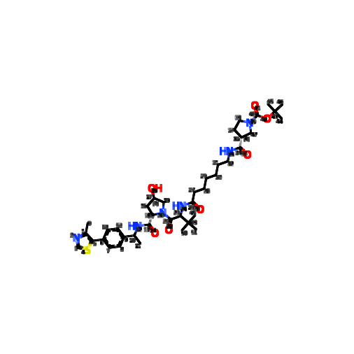 Cc1ncsc1-c1ccc(C(C)NC(=O)[C@@H]2C[C@@H](O)CN2C(=O)C(NC(=O)CCCCCCNC(=O)[C@@H]2CCN(C(=O)OC(C)(C)C)C2)C(C)(C)C)cc1